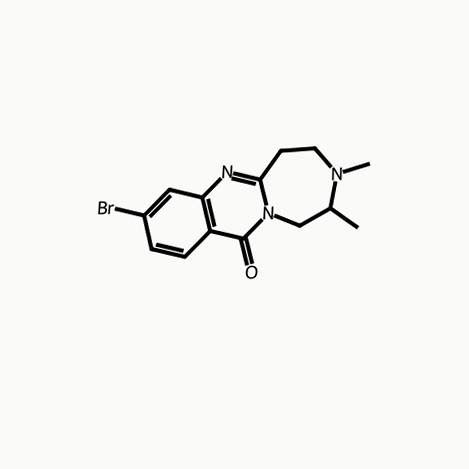 CC1Cn2c(nc3cc(Br)ccc3c2=O)CCN1C